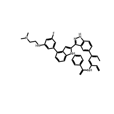 C=C/C(=C\C(=C/C)c1ccc2[nH]nc(-c3cc4c(-c5cc(F)cc(NCCN(C)C)c5)cccc4[nH]3)c2c1)NC(=C)c1ccccc1